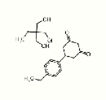 CCC(CO)(CO)CO.CCc1ccc(C2CC(=O)CC(=O)C2)cc1